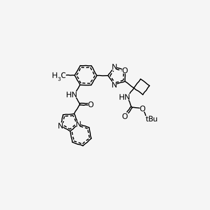 Cc1ccc(-c2noc(C3(NC(=O)OC(C)(C)C)CCC3)n2)cc1NC(=O)c1cnc2ccccn12